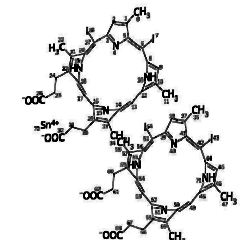 CC1=Cc2nc1c(I)c1cc(C)c(cc3nc(cc4[nH]c(c(C)c4CCC(=O)[O-])c2I)C(CCC(=O)[O-])=C3C)[nH]1.CC1=Cc2nc1c(I)c1cc(C)c(cc3nc(cc4[nH]c(c(C)c4CCC(=O)[O-])c2I)C(CCC(=O)[O-])=C3C)[nH]1.[Sn+4]